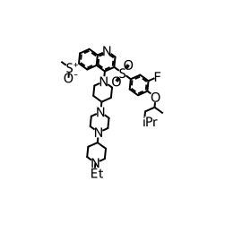 CCN1CCC(N2CCN(C3CCN(c4c(S(=O)(=O)c5ccc(OC(C)CC(C)C)c(F)c5)cnc5ccc([S+](C)[O-])cc45)CC3)CC2)CC1